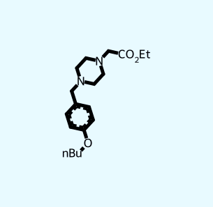 CCCCOc1ccc(CN2CCN(CC(=O)OCC)CC2)cc1